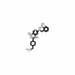 NCC1CCC(CNc2cc(NCc3ccccc3OC(F)(F)F)ncc2[N+](=O)O)CC1